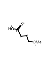 COCCCC(O)=S